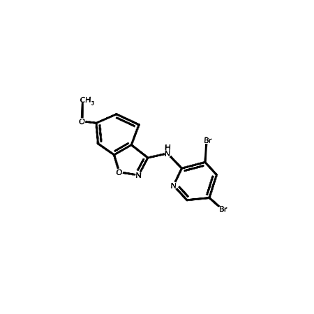 COc1ccc2c(Nc3ncc(Br)cc3Br)noc2c1